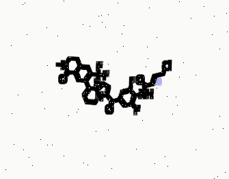 CN1CCc2cc(C(F)(F)F)c(-c3cccn4c(C(=O)c5cc(F)c(NC(=O)/C=C/CCl)c(F)c5)ccc34)cc2C1=O